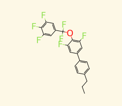 CCCc1ccc(-c2cc(F)c(OC(F)(F)c3cc(F)c(F)c(F)c3)c(F)c2)cc1